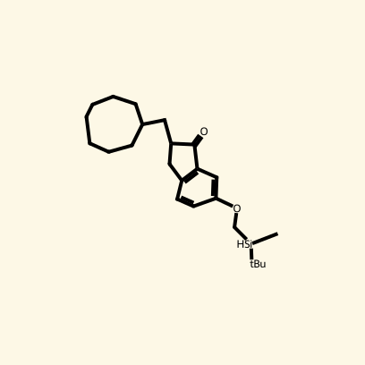 C[SiH](COc1ccc2c(c1)C(=O)C(CC1CCCCCCC1)C2)C(C)(C)C